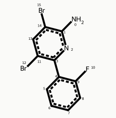 Nc1nc(-c2ccccc2F)c(Br)cc1Br